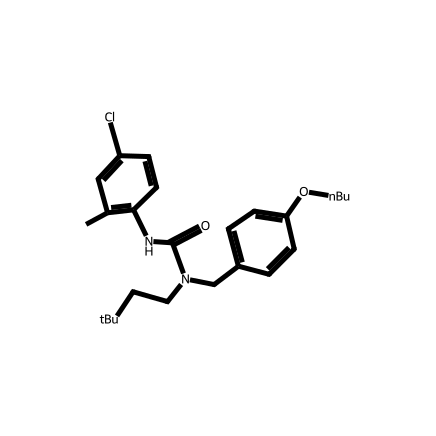 CCCCOc1ccc(CN(CCC(C)(C)C)C(=O)Nc2ccc(Cl)cc2C)cc1